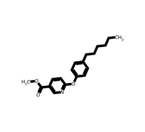 CCCCCCc1ccc(Oc2ccc(C(=O)OC)cn2)cc1